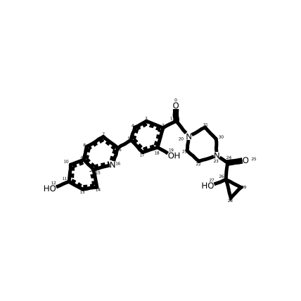 O=C(c1ccc(-c2ccc3cc(O)ccc3n2)cc1O)N1CCN(C(=O)C2(O)CC2)CC1